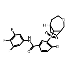 O=C(Nc1cc(F)c(F)c(F)c1)c1ccc(Cl)c(S(=O)(=O)C2C3CC[C@H]2CCOC3)c1